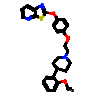 COc1ccccc1C1CCN(CCOc2ccc(Oc3nc4cccnc4s3)cc2)CC1